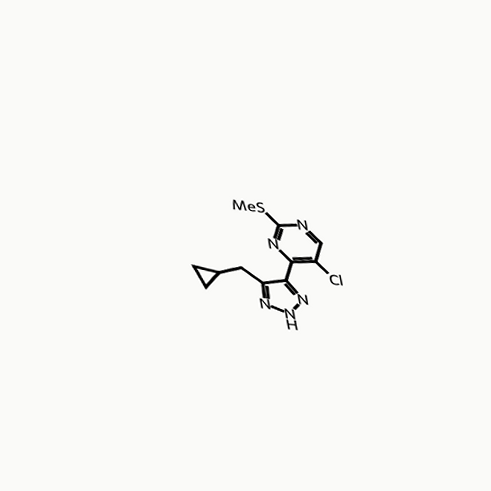 CSc1ncc(Cl)c(-c2n[nH]nc2CC2CC2)n1